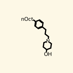 CCCCCCCCc1ccc(CCCN2CCC(O)CC2)cc1